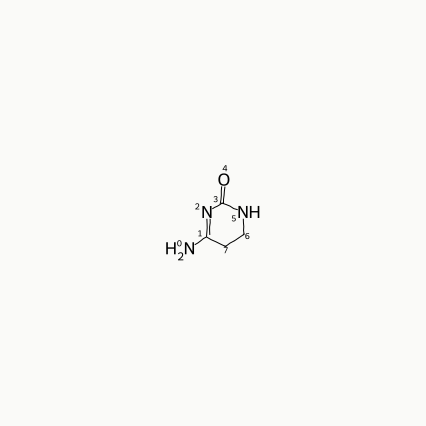 NC1=NC(=O)NCC1